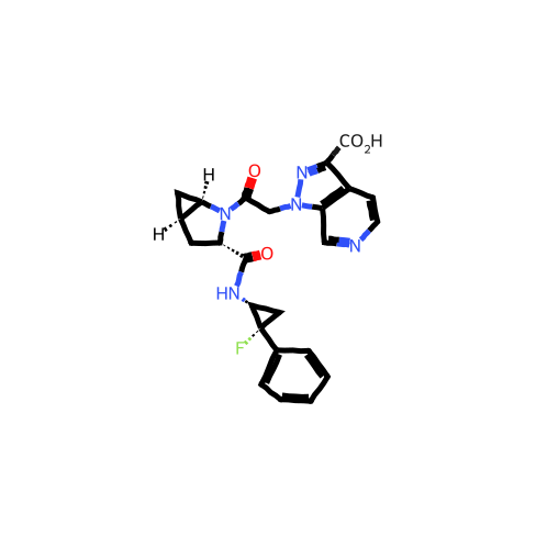 O=C(O)c1nn(CC(=O)N2[C@@H]3C[C@@H]3C[C@H]2C(=O)N[C@@H]2C[C@@]2(F)c2ccccc2)c2cnccc12